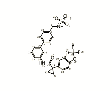 CS(=O)(=O)NCc1ccc(-c2cccc(NC(=O)C3(c4ccc5c(c4)OC(F)(F)O5)CC3)c2)cc1